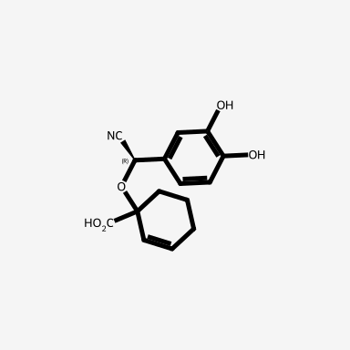 N#C[C@H](OC1(C(=O)O)C=CCCC1)c1ccc(O)c(O)c1